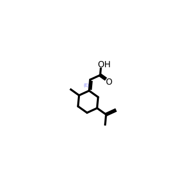 C=C(C)C1CCC(C)/C(=C/C(=O)O)C1